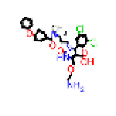 CN(CCCN1C(=O)NC(COCCN)=C(C(=O)O)C1c1cc(Cl)cc(Cl)c1)C(=O)c1ccc(Oc2ccccc2)cc1